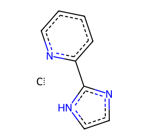 [C].c1ccc(-c2ncc[nH]2)nc1